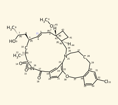 CO[C@H]1/C=C/[C@H](C[C@@H](C)O)C[C@@H](C)S(=O)(=O)NC(=O)c2ccc3c(c2)N(CCCCc2cc(Cl)ccc2CO3)C[C@@H]2CC[C@H]21